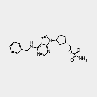 NS(=O)(=O)OC[C@H]1CC[C@H](n2ccc3c(NCc4ccccc4)ncnc32)C1